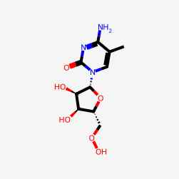 Cc1cn([C@@H]2O[C@H](COO)[C@@H](O)[C@H]2O)c(=O)nc1N